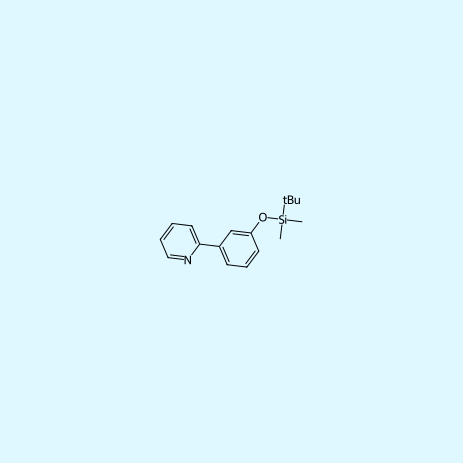 CC(C)(C)[Si](C)(C)Oc1cccc(-c2ccccn2)c1